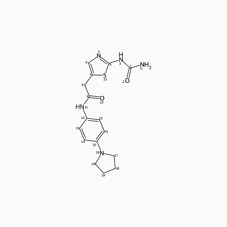 NC(=O)Nc1ncc(CC(=O)Nc2ccc(N3CCCC3)cc2)s1